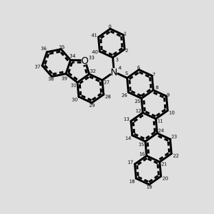 c1ccc(N(c2ccc3ccc4c(ccc5c6ccccc6ccc54)c3c2)c2cccc3c2oc2ccccc23)cc1